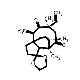 C=C[C@@]1(C)CC(=O)[C@@]2(C)C3C4(CCC3(CC[C@H]2C)C(=C)C1=O)OCCO4